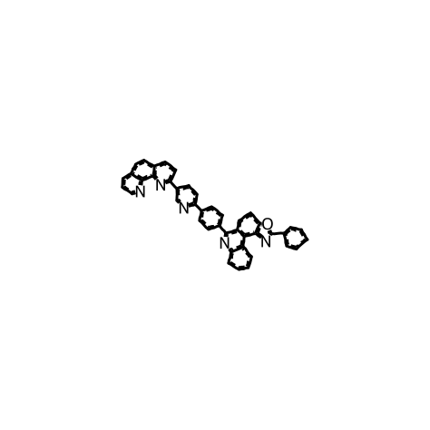 c1ccc(-c2nc3c(ccc4c(-c5ccc(-c6ccc(-c7ccc8ccc9cccnc9c8n7)cn6)cc5)nc5ccccc5c43)o2)cc1